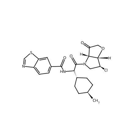 C[C@H]1CC[C@H](C(NC(=O)c2ccc3ncsc3c2)C(=O)N2C[C@H](Cl)[C@H]3OCC(=O)[C@H]32)CC1